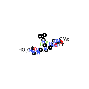 COC(=O)N[C@H](C(=O)N1CCC[C@H]1c1nc2cc([C@H]3CC[C@H](c4ccc5[nH]c([C@@H]6CCCN6C(=O)[C@H](C(C)C)N(C)C(=O)O)nc5c4)N3c3cc(F)c(N4CCC(c5ccccc5)(c5ccccc5)CC4)c(F)c3)ccc2[nH]1)C(C)C